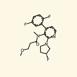 COCCC(=O)N(C)c1c(-c2cc(F)ccc2F)ccnc1N1CC[C@H](F)C1